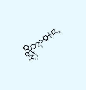 CN(C(=O)O)[C@@H]1CCC[C@H]1C(C#N)(c1ccccc1)C1CCN(CC2(C)CN(c3ccc(S(=O)(=O)c4cnn(C)c4)cc3)C2)CC1